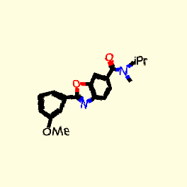 COc1cccc(-c2nc3ccc(C(=O)N(C)C(C)C)cc3o2)c1